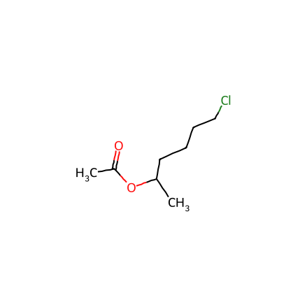 CC(=O)OC(C)CCCCCl